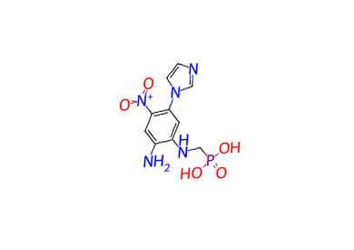 Nc1cc([N+](=O)[O-])c(-n2ccnc2)cc1NCP(=O)(O)O